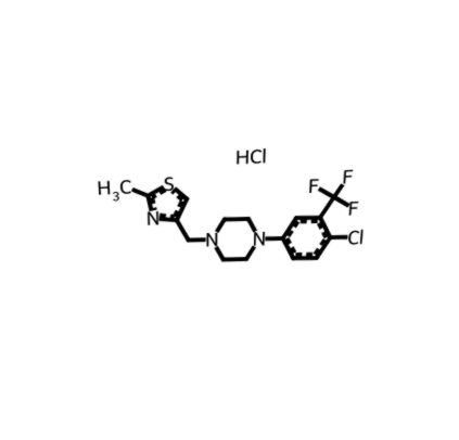 Cc1nc(CN2CCN(c3ccc(Cl)c(C(F)(F)F)c3)CC2)cs1.Cl